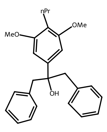 CCCc1c(OC)cc(C(O)(Cc2ccccc2)Cc2ccccc2)cc1OC